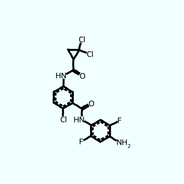 Nc1cc(F)c(NC(=O)c2cc(NC(=O)C3CC3(Cl)Cl)ccc2Cl)cc1F